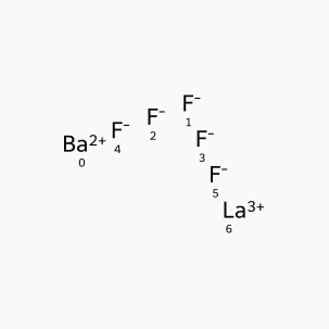 [Ba+2].[F-].[F-].[F-].[F-].[F-].[La+3]